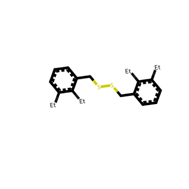 CCc1cccc(CSSCc2cccc(CC)c2CC)c1CC